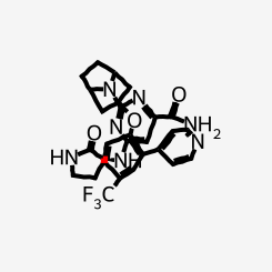 NC(=O)c1cc(N[C@H]2CCNC2=O)nc(N2C3CCC2CC(Oc2ccc(C(F)(F)F)cc2-c2ccncc2)C3)n1